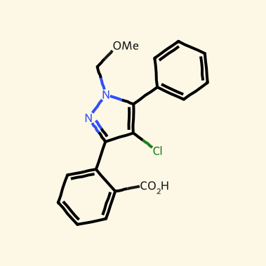 COCn1nc(-c2ccccc2C(=O)O)c(Cl)c1-c1ccccc1